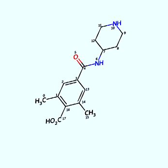 Cc1cc(C(=O)NC2CCNCC2)cc(C)c1C(=O)O